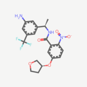 C[C@@H](NC(=O)c1cc(O[C@H]2CCOC2)ccc1[N+](=O)[O-])c1cc(N)cc(C(F)(F)F)c1